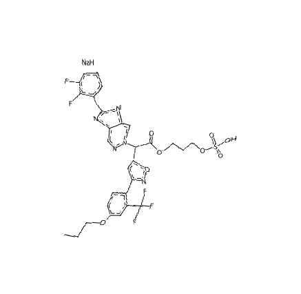 CCCOc1ccc(-c2cc(C(C(=O)OCCCOS(=O)(=O)O)n3cc4nc(-c5cccc(F)c5F)nc-4cn3)on2)c(C(F)(F)F)c1.[NaH]